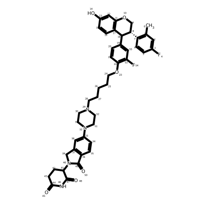 Cc1cc(F)ccc1[C@H]1COc2cc(O)ccc2C1c1ccc(OCCCCCN2CCN(c3ccc4c(c3)CN(C3CCC(=O)NC3=O)C4=O)CC2)c(F)c1